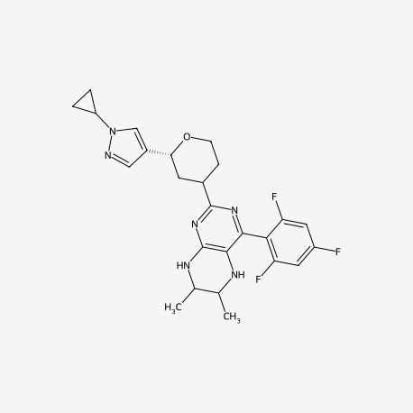 CC1Nc2nc(C3CCO[C@@H](c4cnn(C5CC5)c4)C3)nc(-c3c(F)cc(F)cc3F)c2NC1C